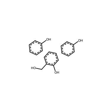 OCc1ccccc1O.Oc1ccccc1.Oc1ccccc1